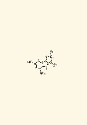 Nc1cc(O)cc2c1sc1c(N)cc(O)cc12